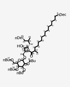 CCCCCCCCCCCCCCCCCCCCCCCC(C)C(=O)N1[C@@H](COC2OC(COCCCC)C(OCCCC)C(OCCCC)C2OCCCC)[C@H](O)[C@@H]1CC(C)CCCCCCCCCCC